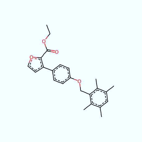 CCOC(=O)c1occc1-c1ccc(OCc2c(C)c(C)cc(C)c2C)cc1